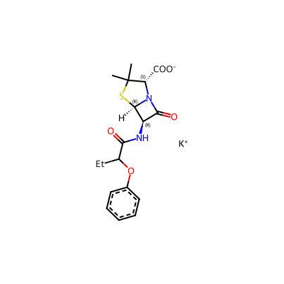 CCC(Oc1ccccc1)C(=O)N[C@@H]1C(=O)N2[C@@H]1SC(C)(C)[C@@H]2C(=O)[O-].[K+]